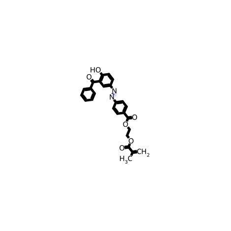 C=C(C)C(=O)OCCOC(=O)c1ccc(/N=N/c2ccc(O)c(C(=O)c3ccccc3)c2)cc1